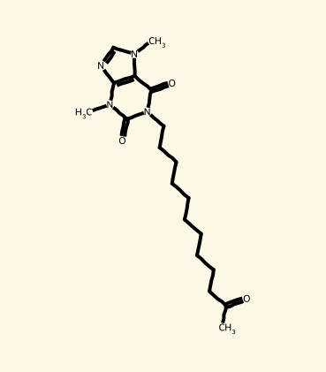 CC(=O)CCCCCCCCCCn1c(=O)c2c(ncn2C)n(C)c1=O